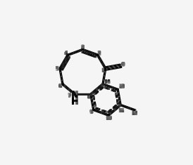 C=C1/C=C\C=C/CNc2ccc(C)cc21